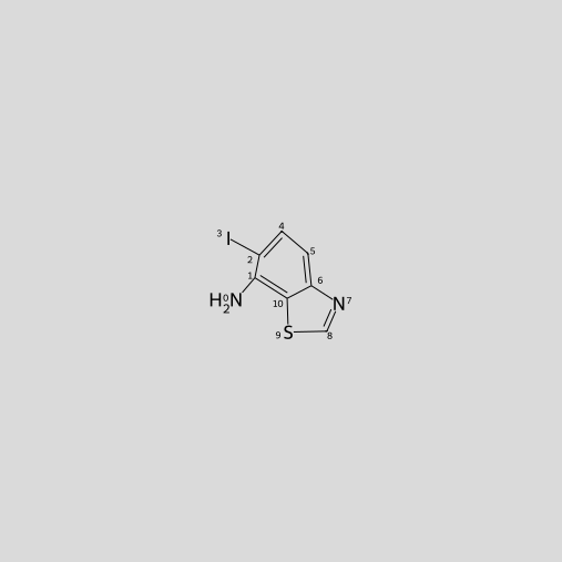 Nc1c(I)ccc2ncsc12